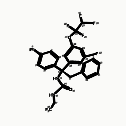 CC(C)c1ccc([C@@](Cc2ccccc2)(NC(=O)NCC(F)(F)F)c2cc(F)cc(OC(F)(F)C(F)F)c2)cc1